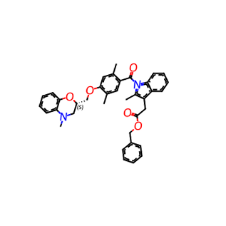 Cc1cc(C(=O)n2c(C)c(CC(=O)OCc3ccccc3)c3ccccc32)c(C)cc1OC[C@@H]1CN(C)c2ccccc2O1